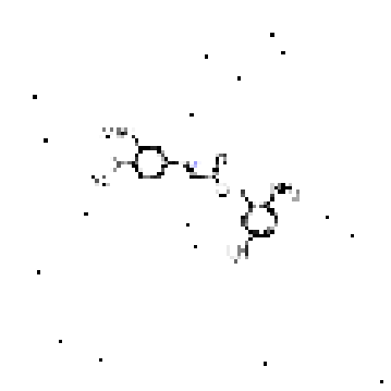 COc1cc(/C=C/C(=O)OCc2cc(N)ccc2N)ccc1OC#N